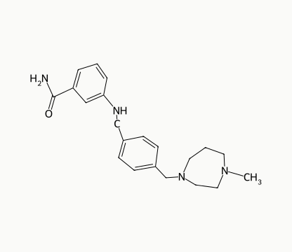 CN1CCCN(Cc2ccc(CNc3cccc(C(N)=O)c3)cc2)CC1